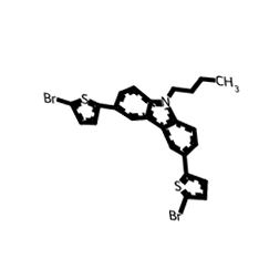 CCCCn1c2ccc(-c3ccc(Br)s3)cc2c2cc(-c3ccc(Br)s3)ccc21